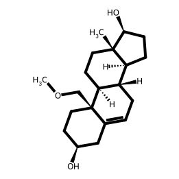 COC[C@]12CC[C@H](O)CC1=CC[C@@H]1[C@@H]2CC[C@]2(C)[C@@H](O)CC[C@@H]12